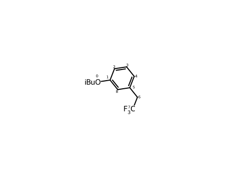 CC(C)COc1cccc(CC(F)(F)F)c1